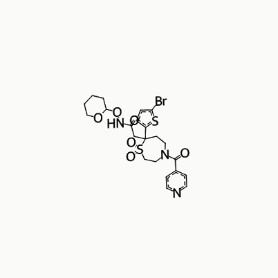 O=C(CC1(c2ccc(Br)s2)CCN(C(=O)c2ccncc2)CCS1(=O)=O)NOC1CCCCO1